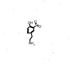 NCCc1ccc(O)c([N+](=O)[O-])c1